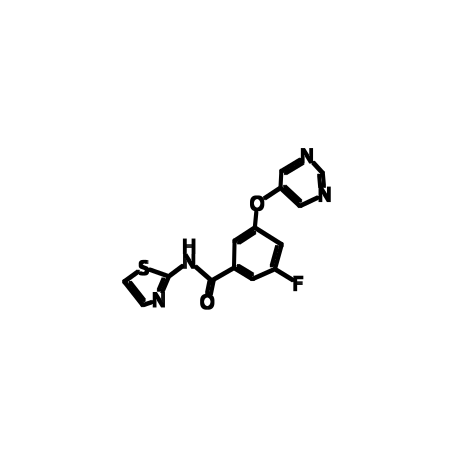 O=C(Nc1nccs1)c1cc(F)cc(Oc2cncnc2)c1